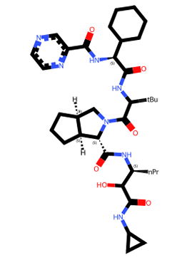 CCC[C@H](NC(=O)[C@@H]1[C@H]2CCC[C@H]2CN1C(=O)C(NC(=O)[C@@H](NC(=O)c1cnccn1)C1CCCCC1)C(C)(C)C)C(O)C(=O)NC1CC1